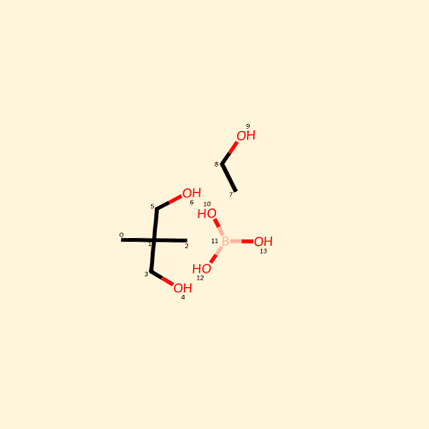 CC(C)(CO)CO.CCO.OB(O)O